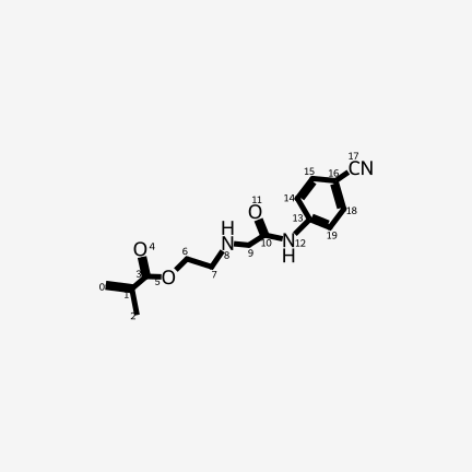 C=C(C)C(=O)OCCNCC(=O)Nc1ccc(C#N)cc1